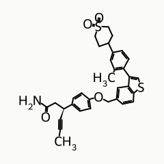 CC#C[C@@H](CC(N)=O)c1ccc(OCc2ccc3scc(-c4ccc(C5CCS(=O)(=O)CC5)cc4C)c3c2)cc1